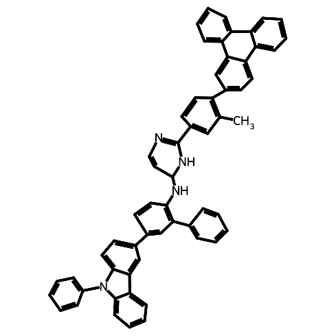 Cc1cc(C2=NC=CC(Nc3ccc(-c4ccc5c(c4)c4ccccc4n5-c4ccccc4)cc3-c3ccccc3)N2)ccc1-c1ccc2c3ccccc3c3ccccc3c2c1